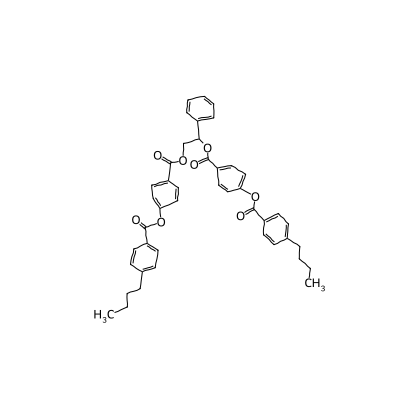 CCCCc1ccc(C(=O)Oc2ccc(C(=O)OCC(OC(=O)c3ccc(OC(=O)c4ccc(CCCC)cc4)cc3)c3ccccc3)cc2)cc1